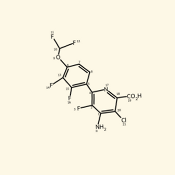 Nc1c(F)c(-c2ccc(OC(F)F)c(F)c2F)nc(C(=O)O)c1Cl